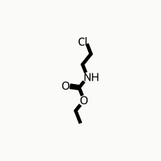 CCOC(=O)NCCCl